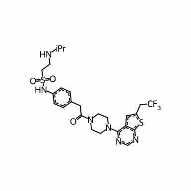 CC(C)NCCS(=O)(=O)Nc1ccc(CC(=O)N2CCN(c3ncnc4sc(CC(F)(F)F)cc34)CC2)cc1